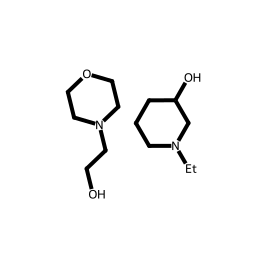 CCN1CCCC(O)C1.OCCN1CCOCC1